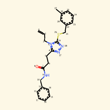 C=CCn1c(CCC(=O)NCc2ccccc2)nnc1SCc1cccc(C)c1